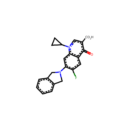 O=C(O)c1cn(C2CC2)c2cc(N3Cc4ccccc4C3)c(F)cc2c1=O